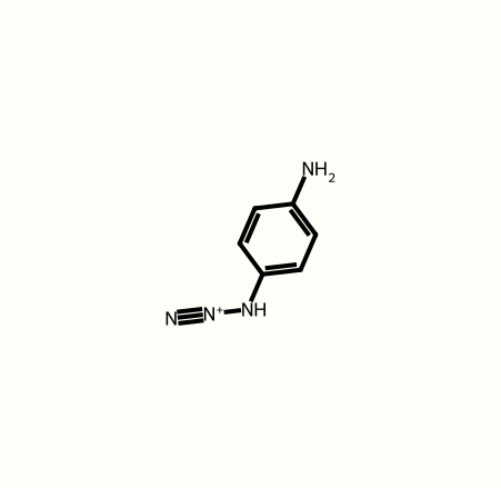 N#[N+]Nc1ccc(N)cc1